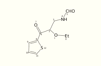 CCOC(CNC=O)C(=O)c1cccs1